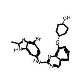 Cc1nc2c(Br)cc(Nc3ncc4cccc(O[C@H]5CC[C@@H](O)CC5)c4n3)cc2[nH]1